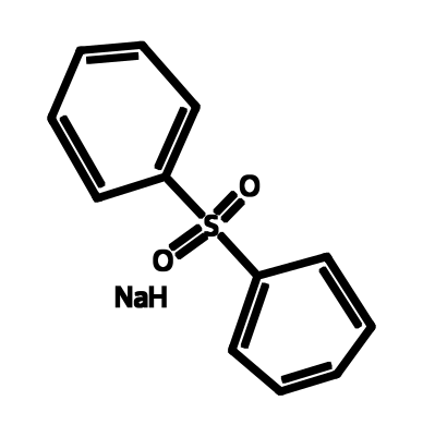 O=S(=O)(c1ccccc1)c1ccccc1.[NaH]